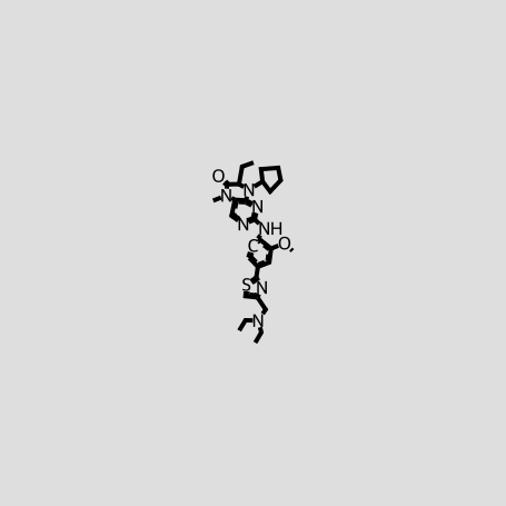 CCC1C(=O)N(C)c2cnc(Nc3ccc(-c4nc(CN(CC)CC)cs4)cc3OC)nc2N1C1CCCC1